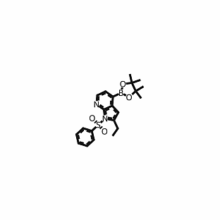 CCc1cc2c(B3OC(C)(C)C(C)(C)O3)ccnc2n1S(=O)(=O)c1ccccc1